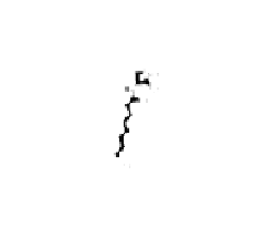 CCCCCCCCC(=O)N(C)[C@H]1CNC1=O